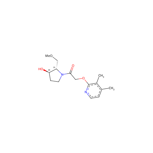 COC[C@H]1[C@H](O)CCN1C(=O)COc1nccc(C)c1C